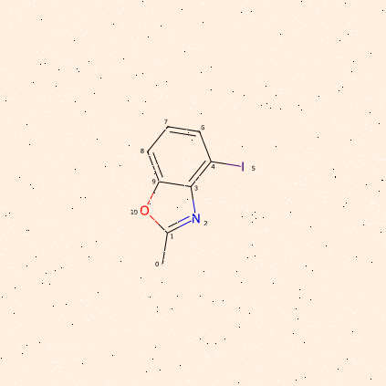 Cc1nc2c(I)cccc2o1